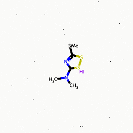 CSC1=NC(N(C)C)SS1.I